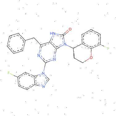 O=c1[nH]c2c(Cc3ccccc3)nc(-n3cnc4ccc(F)cc43)nc2n1C1CCOc2c(F)cccc21